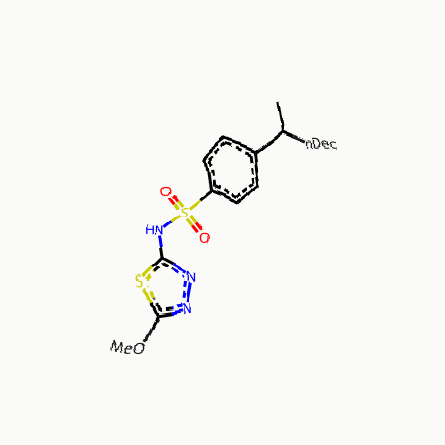 CCCCCCCCCCC(C)c1ccc(S(=O)(=O)Nc2nnc(OC)s2)cc1